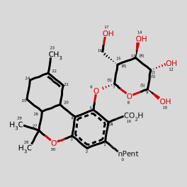 CCCCCc1cc2c(c(O[C@H]3O[C@H](O)[C@@H](O)[C@H](O)[C@H]3CO)c1C(=O)O)C1C=C(C)CCC1C(C)(C)O2